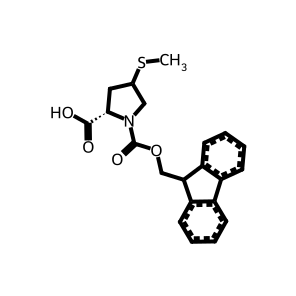 CSC1C[C@@H](C(=O)O)N(C(=O)OCC2c3ccccc3-c3ccccc32)C1